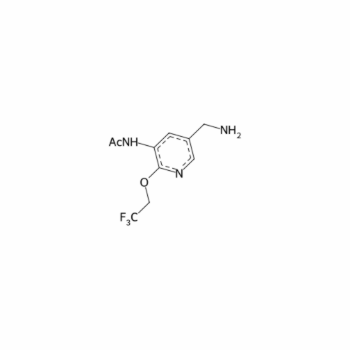 CC(=O)Nc1cc(CN)cnc1OCC(F)(F)F